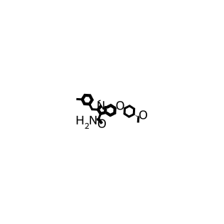 Cc1cccc(Cc2c(C(N)=O)c3ccc(O[C@H]4CC[C@@H](C(C)=O)CC4)cc3n2C)c1